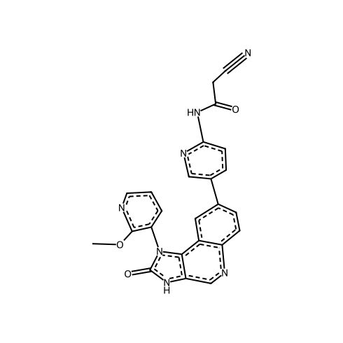 COc1ncccc1-n1c(=O)[nH]c2cnc3ccc(-c4ccc(NC(=O)CC#N)nc4)cc3c21